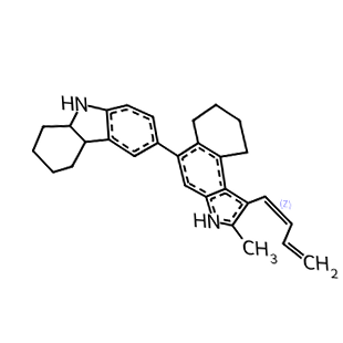 C=C/C=C\c1c(C)[nH]c2cc(-c3ccc4c(c3)C3CCCCC3N4)c3c(c12)CCCC3